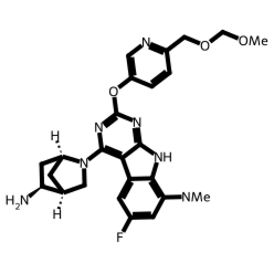 CNc1cc(F)cc2c1[nH]c1nc(Oc3ccc(COCOC)nc3)nc(N3C[C@@H]4C[C@H]3C[C@@H]4N)c12